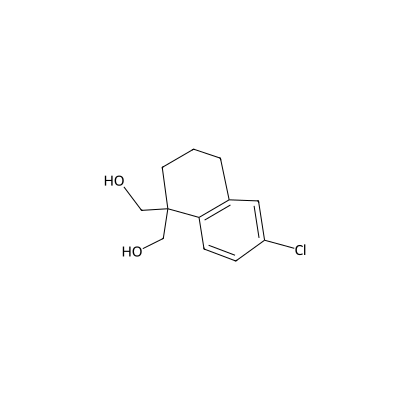 OCC1(CO)CCCc2cc(Cl)ccc21